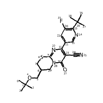 CC(C)(C)OCC1CSc2nc(-c3cnc(C(C)(C)C)c(F)c3)c(C#N)c(=O)n2C1